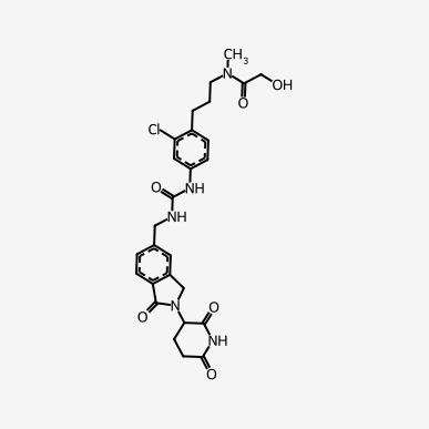 CN(CCCc1ccc(NC(=O)NCc2ccc3c(c2)CN(C2CCC(=O)NC2=O)C3=O)cc1Cl)C(=O)CO